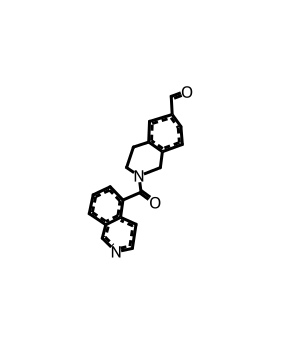 O=Cc1ccc2c(c1)CCN(C(=O)c1cccc3cnccc13)C2